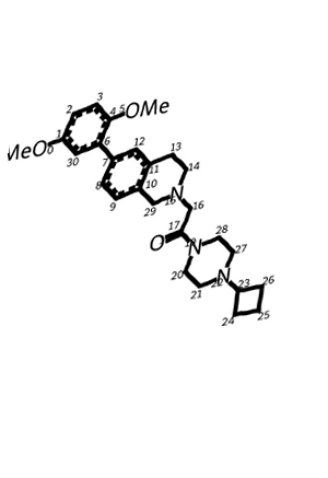 COc1ccc(OC)c(-c2ccc3c(c2)CCN(CC(=O)N2CCN(C4CCC4)CC2)C3)c1